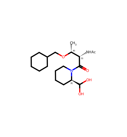 CC(=O)N[C@H](C(=O)N1CCCC[C@@H]1C(O)O)[C@@H](C)OCC1CCCCC1